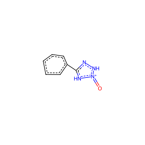 O=[n+]1[nH]nc(-c2ccccc2)[nH]1